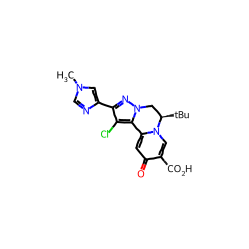 Cn1cnc(-c2nn3c(c2Cl)-c2cc(=O)c(C(=O)O)cn2[C@H](C(C)(C)C)C3)c1